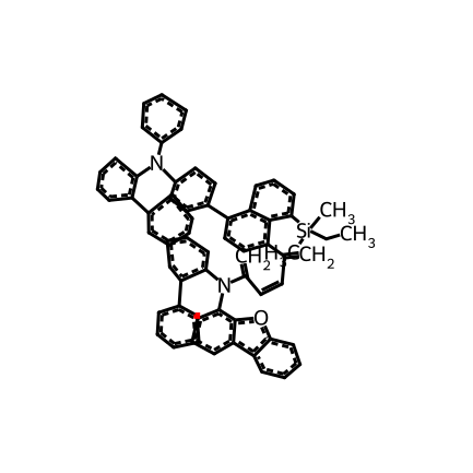 C=C(/C=C\C(=C)N(c1ccccc1-c1ccccc1)c1cccc2c1oc1ccccc12)c1ccc(-c2ccc(N(c3ccccc3)c3ccccc3-c3ccccc3)cc2)c2cccc([Si](C)(C)CC)c12